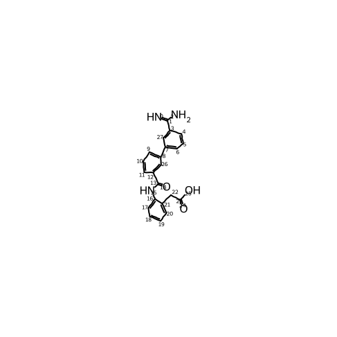 N=C(N)c1cccc(-c2cccc(C(=O)Nc3ccccc3CC(=O)O)c2)c1